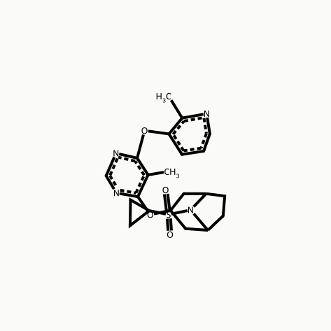 Cc1ncccc1Oc1ncnc(OC2CC3CCC(C2)N3S(=O)(=O)C2CC2)c1C